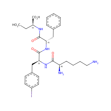 NCCCC[C@@H](N)C(=O)N[C@@H](Cc1ccc(I)cc1)C(=O)N[C@@H](Cc1ccccc1)C(=O)N[C@@H](CC(=O)O)C(=O)O